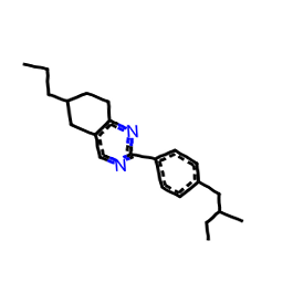 CCCC1CCc2nc(-c3ccc(CC(C)CC)cc3)ncc2C1